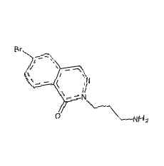 NCCCn1ncc2cc(Br)ccc2c1=O